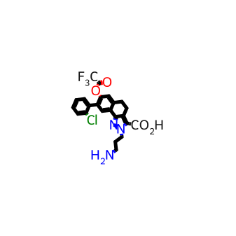 NCCCn1nc2c(c1C(=O)O)CCc1cc(OC(=O)C(F)(F)F)c(-c3ccccc3Cl)cc1-2